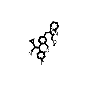 COCc1nc2ccccn2c1Cc1ccc2c(c1)COc1cc(F)ccc1C2=C(C#N)C1CC1